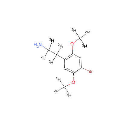 [2H]C([2H])([2H])Oc1cc(C([2H])([2H])C([2H])([2H])N)c(OC([2H])([2H])[2H])cc1Br